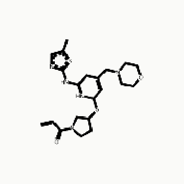 C=CC(=O)N1CCC(OC2C=C(CN3CCOCC3)CC(Nc3ncc(C)s3)N2)C1